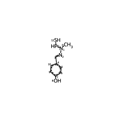 CN(/N=C/c1ccc(O)cc1)PS